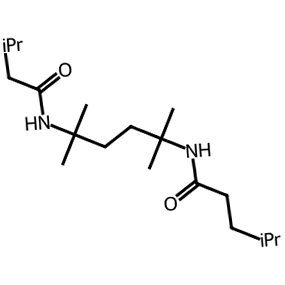 CC(C)CCC(=O)NC(C)(C)CCC(C)(C)NC(=O)CC(C)C